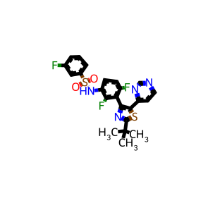 CC(C)(C)c1nc(-c2c(F)ccc(NS(=O)(=O)c3cccc(F)c3)c2F)c(-c2ccncn2)s1